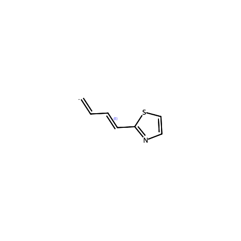 [CH]=C/C=C/c1nccs1